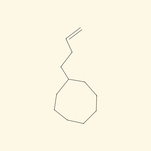 C=CCCC1CCCCCCC1